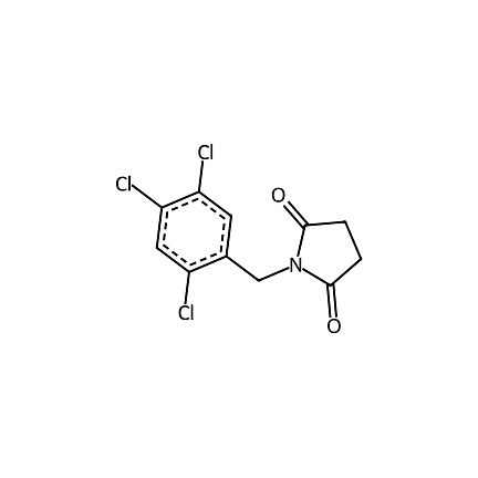 O=C1CCC(=O)N1Cc1cc(Cl)c(Cl)cc1Cl